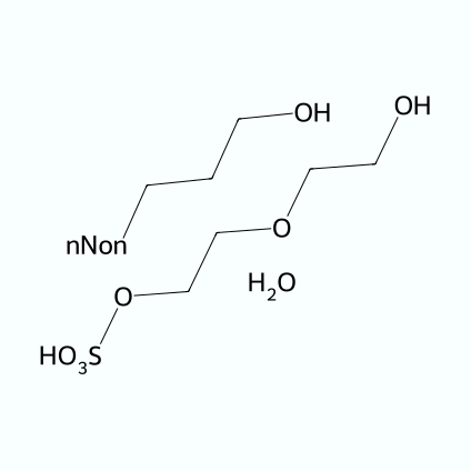 CCCCCCCCCCCCO.O.O=S(=O)(O)OCCOCCO